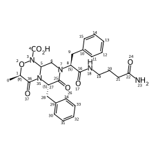 C[C@H]1ON(C(=O)O)C2CN([C@@H](Cc3ccccc3)C(=O)NCCCC(N)=O)C(=O)[C@H](Cc3ccccc3)N2C1=O